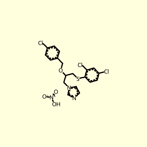 Clc1ccc(COC(CSc2ccc(Cl)cc2Cl)Cn2ccnc2)cc1.O=[N+]([O-])O